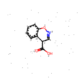 O=C(O)C1C=NOc2ccccc21